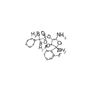 BC(B)(c1ccccc1)S(=O)(=O)OC1=C(N)O[C@](B)(c2c(F)cccc2F)C1=O